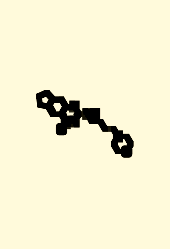 [O-][n+]1nc(NCCCCN2CCOCC2)nc2cc3c(cc21)CCC3